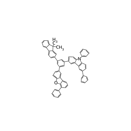 CC1(C)c2ccccc2-c2ccc(-c3cc(-c4ccc5oc6c(-c7ccccc7)cccc6c5c4)cc(-c4ccc5c(c4)c4cc(-c6ccccc6)ccc4n5-c4ccccc4)c3)cc21